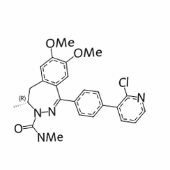 CNC(=O)N1N=C(c2ccc(-c3cccnc3Cl)cc2)c2cc(OC)c(OC)cc2C[C@H]1C